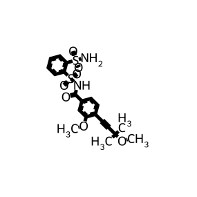 COc1cc(C(=O)NS(=O)(=O)c2ccccc2S(N)(=O)=O)ccc1C#CC(C)(C)OC